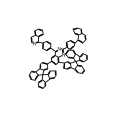 c1ccc2c(c1)-c1ccccc1C21c2ccccc2-c2ccc(-c3cc(-c4ccc5c(c4)C4(c6ccccc6-c6ccccc64)c4ccccc4-5)c4nc(-c5ccc(-c6cccc7ccccc67)cc5)nc(-c5ccc(-c6nccc7ccccc67)cc5)c4c3)cc21